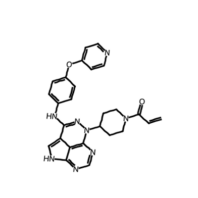 C=CC(=O)N1CCC(N2N=C(Nc3ccc(Oc4ccncc4)cc3)c3c[nH]c4ncnc2c34)CC1